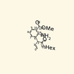 C=CC(C(=O)CCCCCC)c1cccc(C(=O)OC)c1N